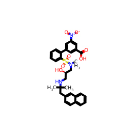 CN(C[C@H](O)CNC(C)(C)Cc1ccc2ccccc2c1)S(=O)(=O)c1ccccc1-c1cc(C(=O)O)cc([N+](=O)[O-])c1